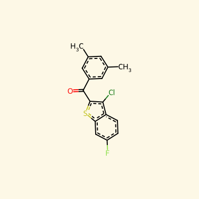 Cc1cc(C)cc(C(=O)c2sc3cc(F)ccc3c2Cl)c1